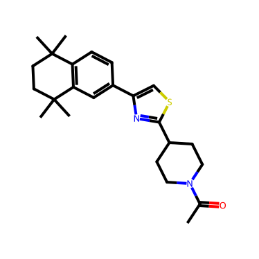 CC(=O)N1CCC(c2nc(-c3ccc4c(c3)C(C)(C)CCC4(C)C)cs2)CC1